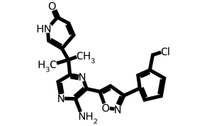 CC(C)(c1ccc(=O)[nH]c1)c1cnc(N)c(-c2cc(-c3cccc(CCl)c3)no2)n1